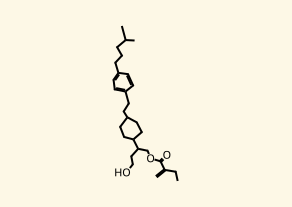 C=C(CC)C(=O)OCC(CCO)C1CCC(CCc2ccc(CCCC(C)C)cc2)CC1